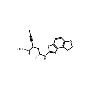 CC#CC(C[C@@H](C)Nc1nc2c3c(ccc2s1)OCC3)NC=O